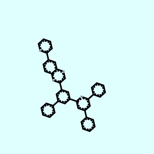 c1ccc(-c2cc(-c3cc(-c4ccccc4)cc(-c4ccccc4)n3)cc(-c3cnc4cc(-c5ccccn5)ccc4n3)c2)cc1